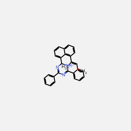 C=C/C=C(\C)c1cccc2cccc(C3N=C(c4ccccc4)N=C(c4ccccc4)N3)c12